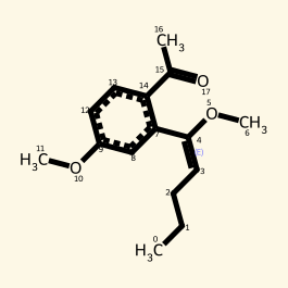 CCC/C=C(/OC)c1cc(OC)ccc1C(C)=O